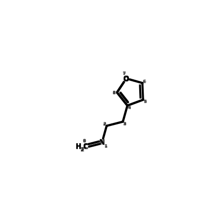 C=NCCc1ccoc1